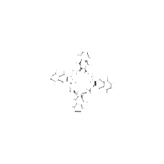 Cc1c(C)c(C)c2c(C)c3c(c(C)c2c1C)-c1nc-3nc2[nH]c(nc3nc(nc4[nH]c(n1)c1c(C)c5c(C)c(C)c(C)c(C)c5c(C)c41)-c1c-3c(C)c3c(C)c(C)c(C)c(C)c3c1C)c1c(C)c3c(C)c(C)c(C)c(C)c3c(C)c21